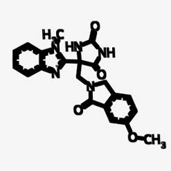 COc1ccc2c(c1)C(=O)N(CC1(c3nc4ccccc4n3C)NC(=O)NC1=O)C2